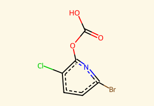 O=C(O)Oc1nc(Br)ccc1Cl